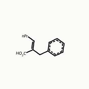 CCCC=C(Cc1ccccc1)C(=O)O